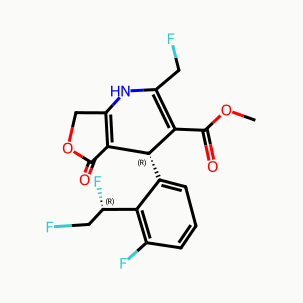 COC(=O)C1=C(CF)NC2=C(C(=O)OC2)[C@H]1c1cccc(F)c1[C@@H](F)CF